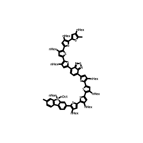 CCCCCCCCC[Si]1(CCCCCCCC)c2cc(C)ccc2-c2ccc(-c3sc(-c4sc(-c5sc(-c6sc(-c7ccc(-c8cc(CCCCCC)c(-c9cc(CCCCCC)c(-c%10cc(CCCCCC)c(-c%11cc(CCCCCC)c(C)s%11)s%10)s9)s8)c8nsnc78)cc6CCCCCC)cc5CCCCCC)cc4CCCCCC)cc3CCCCCC)cc21